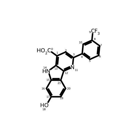 O=C(O)c1cc(-c2cccc(C(F)(F)F)c2)nc2c1[nH]c1cc(O)ccc12